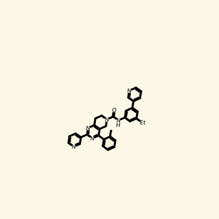 CCc1cc(NC(=O)N2CCc3nc(-c4cccnc4)nc(-c4ccccc4C)c3C2)cc(-c2cccnc2)c1